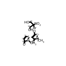 Cn1sc(Cl)cc1=O.Cn1sccc1=O.O=[N+]([O-])C(Br)(CO)CO